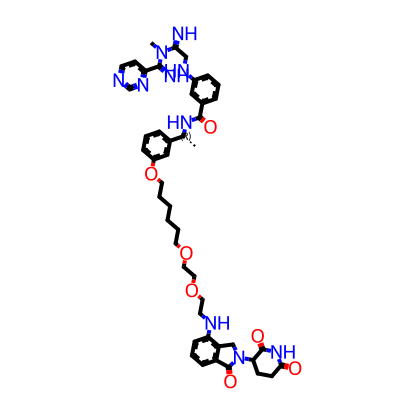 C[C@@H](NC(=O)c1cccc(NCC(=N)N(C)C(=N)c2ccncn2)c1)c1cccc(OCCCCCCOCCOCCNc2cccc3c2CN(C2CCC(=O)NC2=O)C3=O)c1